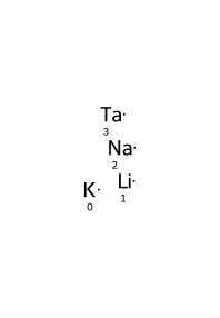 [K].[Li].[Na].[Ta]